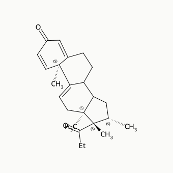 CCC(=O)[C@@]1(C)[C@@H](C)CC2C3CCC4=CC(=O)C=C[C@]4(C)C3=CC[C@@]21C